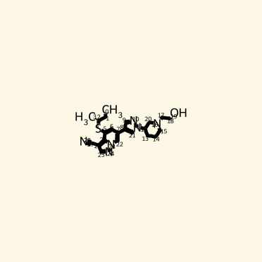 CC[C@@H](C)Sc1cc(-c2cnn(C3CCCN(CCO)C3)c2)cn2ncc(C#N)c12